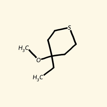 CCC1(OC)CCSCC1